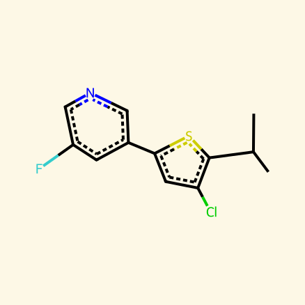 CC(C)c1sc(-c2cncc(F)c2)cc1Cl